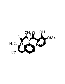 CC[C@@H](Cc1ccccc1)[C@H](C)OC(=O)[C@H](C)NC(=O)c1nccc(OC)c1O